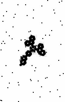 CC1C=Cc2cc(-c3ccc(-c4nc(C5=CC6(C)CCC=CC6c6ccccc65)nc(-c5cc6ccccc6c6ccccc56)n4)cc3)cnc2C1